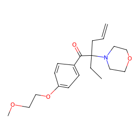 C=CCC(CC)(C(=O)c1ccc(OCCOC)cc1)N1CCOCC1